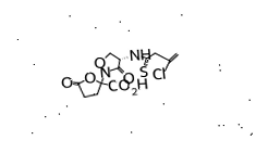 C=C(Cl)CC(=S)N[C@H]1CON(C2(C(=O)O)CCC(=O)O2)C1=O